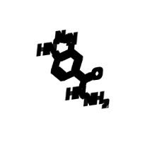 NNC(=O)c1ccc2[nH]nnc2c1